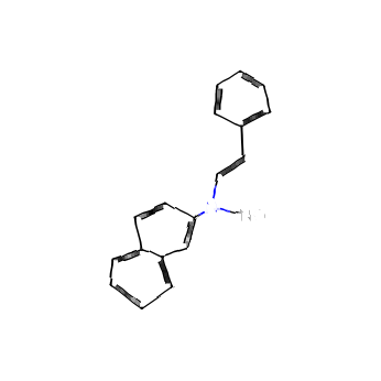 O=NN(C=Cc1ccccc1)c1ccc2ccccc2c1